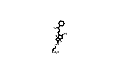 O=C(O)CCON=C1C[C@H]2C(C=CC(O)C3CCCCC3)C(O)C[C@H]12